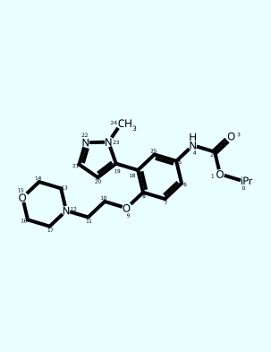 CC(C)OC(=O)Nc1ccc(OCCN2CCOCC2)c(-c2ccnn2C)c1